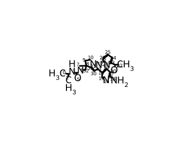 CC(C)NC(=O)N1CC2(CCn3nc(-c4cnc(N)c(OC(C)c5ccccn5)c4)cc32)C1